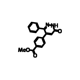 COC(=O)c1ccc(-c2cc(=O)[nH]nc2-c2ccccc2)cc1